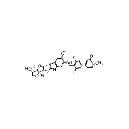 Cn1ccc(-c2cc(F)c(CNc3nc4nc(O[C@@H]5CO[C@]6(I)[C@H](O)CO[C@H]56)[nH]c4cc3Cl)c(F)c2)cc1=O